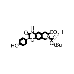 CC(C)(C)OC(=O)N1Cc2cc3c(cc2CC1C(=O)O)NC(=O)[C@H](c1ccc(O)cc1)O3